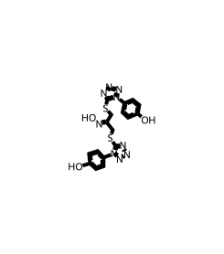 ON=C(CSc1nnnn1-c1ccc(O)cc1)CSc1nnnn1-c1ccc(O)cc1